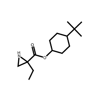 CCC1(C(=O)OC2CCC(C(C)(C)C)CC2)CN1